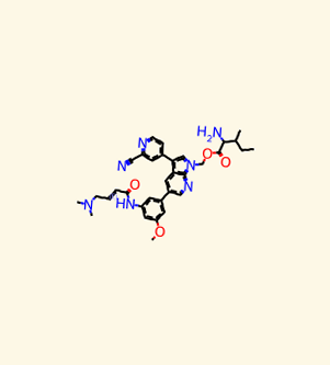 CCC(C)C(N)C(=O)OCn1cc(-c2ccnc(C#N)c2)c2cc(-c3cc(NC(=O)/C=C/CN(C)C)cc(OC)c3)cnc21